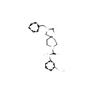 N#Cc1cccc(NC(=O)N2CCC3(CC2)CN(Cc2ccccc2)C(=O)O3)c1